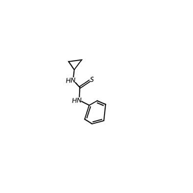 S=C(Nc1ccccc1)NC1CC1